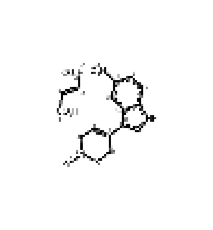 CC(C)N1CC=C(c2c[nH]c3ccc([N+](=O)[O-])cc23)CC1.O=C(O)C=CC(=O)O